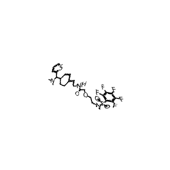 CN(C)C(c1cccs1)C1CCC(CCNC(=O)COCCN(C)S(=O)(=O)c2c(F)c(F)c(F)c(F)c2F)CC1